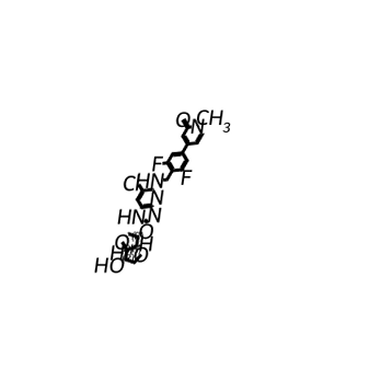 Cn1ccc(-c2cc(F)c(CNc3nc4nc(O[C@@H]5CO[C@H]6[C@@H]5OC[C@H]6O)[nH]c4cc3Cl)c(F)c2)cc1=O